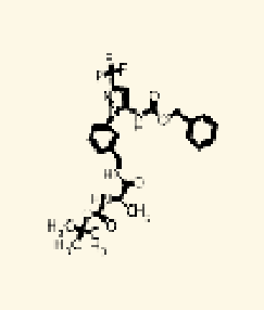 C[C@H](NC(=O)OC(C)(C)C)C(=O)NCc1cccc(-n2nc(C(F)(F)F)cc2NC(=O)OCc2ccccc2)c1